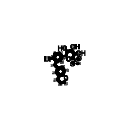 CCc1ccc([C@@H]2O[C@H](S(C)(=O)=O)C(O)[C@H](O)[C@H]2O)cc1Cc1ccc2c(c1)CCCO2